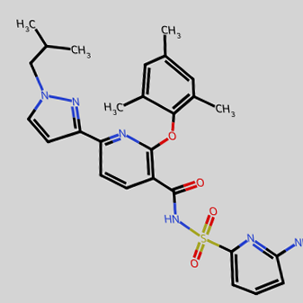 Cc1cc(C)c(Oc2nc(-c3ccn(CC(C)C)n3)ccc2C(=O)NS(=O)(=O)c2cccc(N)n2)c(C)c1